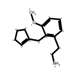 COc1cccc(CCN)c1CC1=CCCC1